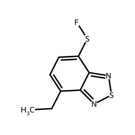 CCc1ccc(SF)c2nsnc12